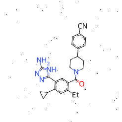 CCc1cc(C2CC2)c(-c2nnc(N)[nH]2)cc1C(=O)N1CCC(c2ccc(C#N)cc2)CC1